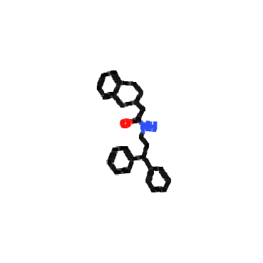 O=C(CC1CCc2ccccc2C1)NCCC(c1ccccc1)c1ccccc1